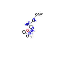 COCCn1cc(-c2n[nH]c3cc(NC(=O)N[C@H](C)c4ccccc4)ncc23)cn1